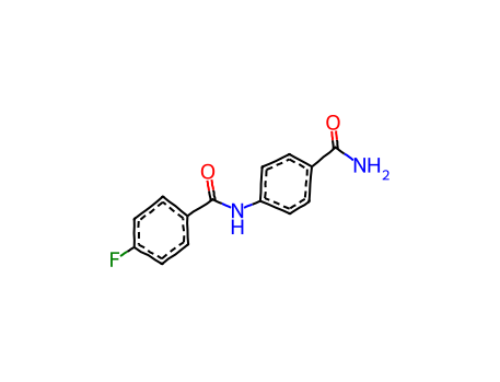 NC(=O)c1ccc(NC(=O)c2ccc(F)cc2)cc1